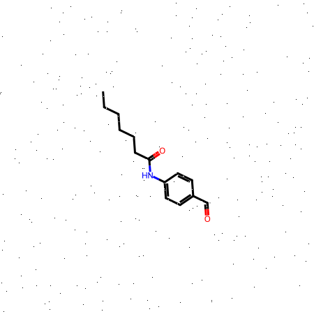 CCCCCCC(=O)Nc1ccc([C]=O)cc1